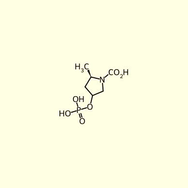 C[C@@H]1CC(OP(=O)(O)O)CN1C(=O)O